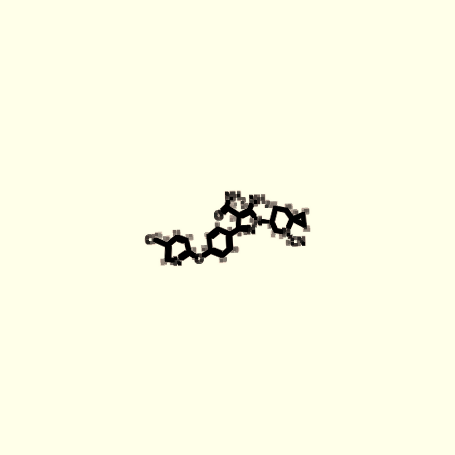 N#CN1C[C@@H](n2nc(-c3ccc(Oc4ccc(Cl)cn4)cc3)c(C(N)=O)c2N)CCC12CC2